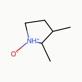 CC1CC[NH+]([O-])C1C